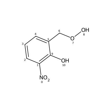 O=[N+]([O-])c1cccc(COO)c1O